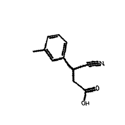 Cc1cccc(C(C#N)CC(=O)O)c1